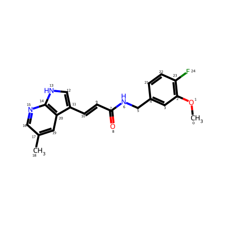 COc1cc(CNC(=O)/C=C/c2c[nH]c3ncc(C)cc23)ccc1F